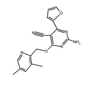 Cc1cnc(COc2nc(N)nc(-c3ccco3)c2C#N)c(C)c1